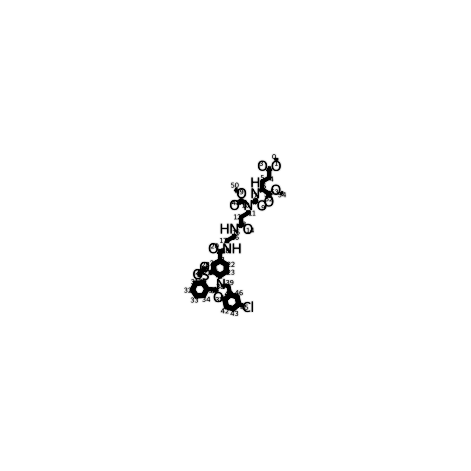 COC(=O)CCC(NC(=O)N(CCC(=O)NCCNC(=O)c1ccc2c(c1)S(=O)(=O)c1ccccc1C(=O)N2Cc1cccc(Cl)c1)C(=O)OC)C(=O)OC